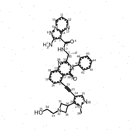 C[C@@H](NC(=O)c1c(N)nn2cccnc12)c1nc2cccc(C#Cc3cnn(C)c3C3CN(CCO)C3)c2c(=O)n1-c1ccccc1